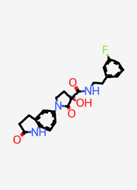 O=C1CCc2cc(N3CC[C@](O)(C(=O)NCCc4cccc(F)c4)C3=O)ccc2N1